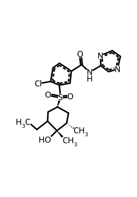 CCC1C[C@@H](S(=O)(=O)c2cc(C(=O)Nc3cnccn3)ccc2Cl)C[C@H](C)[C@]1(C)O